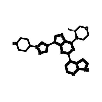 C[C@@H]1COCCN1c1nc(-c2ccnc3[nH]ccc23)nc2c(-c3cnn(C4CCNCC4)c3)csc12